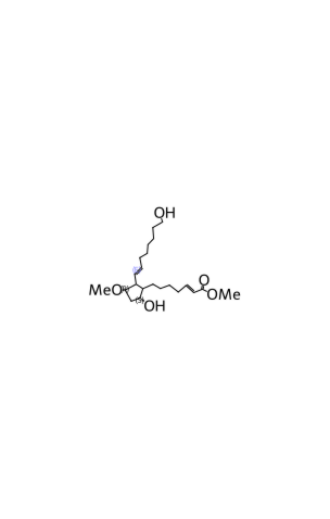 COC(=O)C=CCCCCC1C(/C=C/CCCCCCO)[C@H](OC)C[C@@H]1O